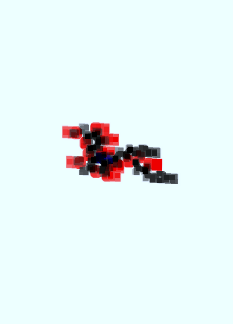 CCCCCCCCCCC[C@@H](O)CC(=O)O[C@H](CCCCCCCCCCC)CC(=O)N[C@]1(O)[C@H](O)O[C@H](CO)[C@@H](O[C@H]2C[C@@H](O)[C@H](O)[C@@H](CO)O2)[C@@H]1O